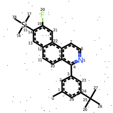 Cc1cc(-c2nccc3c2ccc2cc([Si](C)(C)C)c(F)cc23)cc(C(C)(C)C)c1